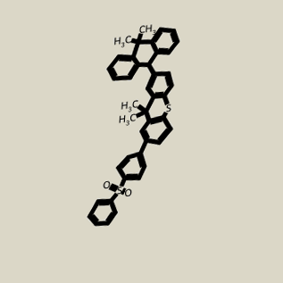 CC1(C)c2cc(-c3ccc(S(=O)(=O)c4ccccc4)cc3)ccc2Sc2ccc(C3c4ccccc4C(C)(C)c4ccccc43)cc21